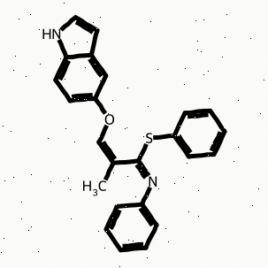 CC(=COc1ccc2[nH]ccc2c1)C(=Nc1ccccc1)Sc1ccccc1